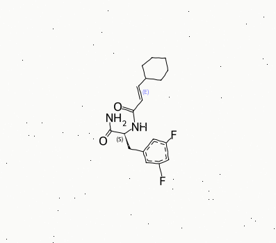 NC(=O)[C@H](Cc1cc(F)cc(F)c1)NC(=O)/C=C/C1CCCCC1